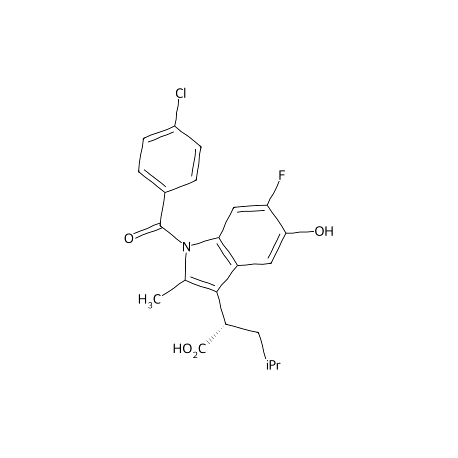 Cc1c([C@H](CC(C)C)C(=O)O)c2cc(O)c(F)cc2n1C(=O)c1ccc(Cl)cc1